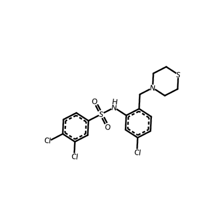 O=S(=O)(Nc1cc(Cl)ccc1CN1CCSCC1)c1ccc(Cl)c(Cl)c1